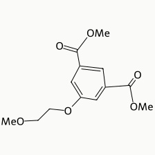 COCCOc1cc(C(=O)OC)cc(C(=O)OC)c1